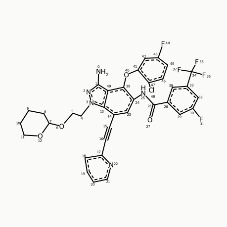 Nc1nn(CCOC2CCCCO2)c2c(C#Cc3ccccn3)cc(NC(=O)c3cc(F)cc(C(F)(F)F)c3)c(Oc3cc(F)ccc3Cl)c12